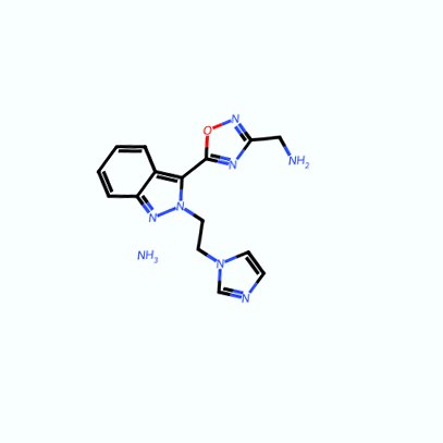 N.NCc1noc(-c2c3ccccc3nn2CCn2ccnc2)n1